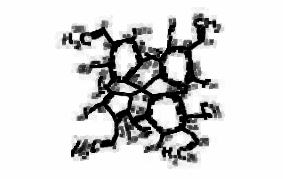 C=CC1=C(F)C(C(c2c(F)c(F)c(C=C)c(F)c2F)(c2c(F)c(F)c(C=C)c(F)c2F)c2c(F)c(F)c(C=C)c(F)c2F)C(F)=C1F